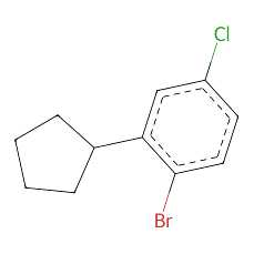 Clc1ccc(Br)c(C2CCCC2)c1